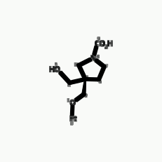 CCOC[C@]1(CO)CCN(C(=O)O)C1